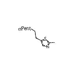 CCCCCCCc1cnc(C)s1